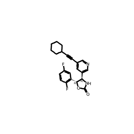 O=C1N[C@H](c2cncc(C#CC3CCCCC3)c2)[C@@H](c2cc(F)ccc2F)O1